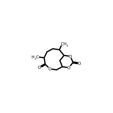 CC1CCC(C)C2CC(COC1=O)OC(=O)O2